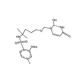 COc1cc(C)ccc1S(=O)(=O)NC(C)(C)CCCOCN1C=CC(=O)NC1O